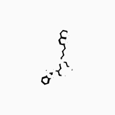 COCCN(CCCCc1ccc2c(n1)NCCC2)CCC(Nc1nc2ccccc2n1C)C(=O)O